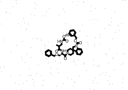 CC(CNC(=O)OC(C)(C)C)C(=O)N[C@H](COCc1ccccc1)C(=O)N1CCC2(CC1)CN(C(=O)OCc1ccccc1)c1ccccc12